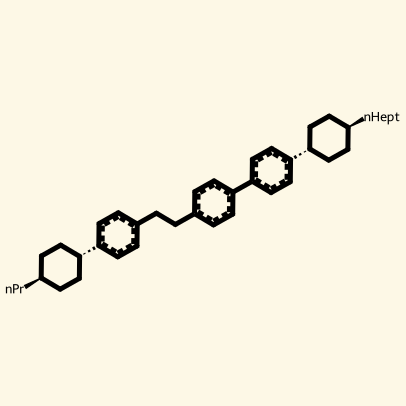 CCCCCCC[C@H]1CC[C@H](c2ccc(-c3ccc(CCc4ccc([C@H]5CC[C@H](CCC)CC5)cc4)cc3)cc2)CC1